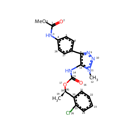 COC(=O)Nc1ccc(-c2nnn(C)c2NC(=O)O[C@H](C)c2ccccc2Cl)cc1